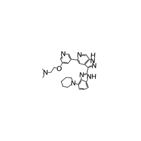 CN(C)CCOc1cncc(-c2cc3c(-c4nc5c(N6CCCCC6)cccc5[nH]4)n[nH]c3cn2)c1